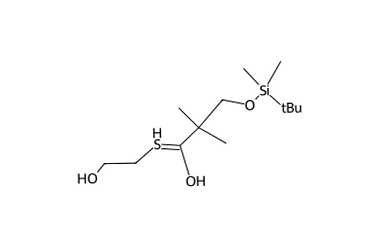 CC(C)(CO[Si](C)(C)C(C)(C)C)C(O)=[SH]CCO